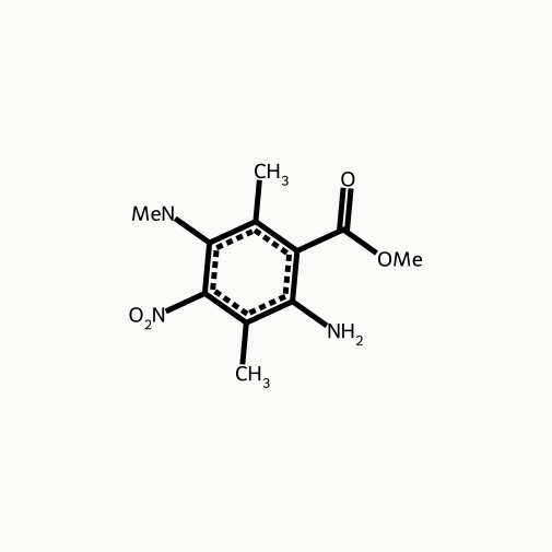 CNc1c(C)c(C(=O)OC)c(N)c(C)c1[N+](=O)[O-]